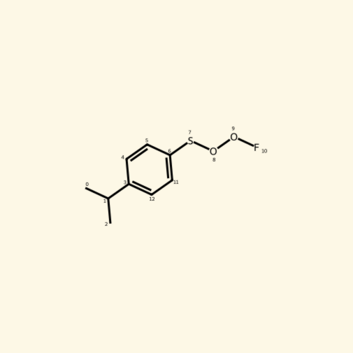 CC(C)c1ccc(SOOF)cc1